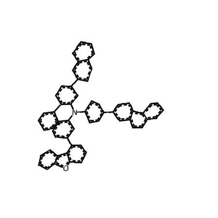 c1ccc(-c2ccc(-c3ccc4ccccc4c3)cc2N(c2ccc(-c3ccc4c(ccc5ccccc54)c3)cc2)c2cccc(-c3cccc4oc5ccccc5c34)c2)cc1